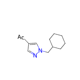 CC(=O)c1cnn(CC2CCCCC2)c1